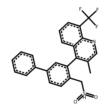 Cc1cnc2c(C(F)(F)F)cccc2c1-c1cc(-c2ccccc2)ccc1C[SH](=O)=O